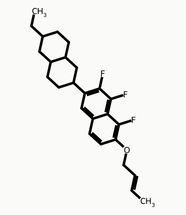 C/C=C/COc1ccc2cc(C3CCC4CC(CC)CCC4C3)c(F)c(F)c2c1F